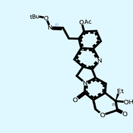 CC[C@@]1(O)C(=O)OCc2c1cc1n(c2=O)Cc2cc3c(C/C=N/OC(C)(C)C)c(OC(C)=O)ccc3nc2-1